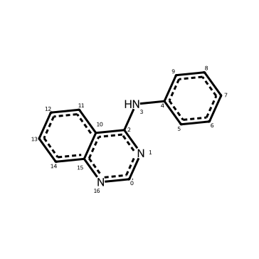 [c]1nc(Nc2ccccc2)c2ccccc2n1